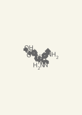 CC(O)CNC(=O)c1cccc(-c2ccc3nc(-c4cccnc4N)n(-c4ccc(C5(N)CCC5)cc4)c3n2)c1